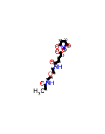 CCC(=O)NCCOCCNC(=O)CCCC(=O)ON1C(=O)CCC1=O